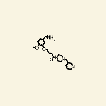 COc1ccc(CN)cc1OCCCC(=O)N1CCN(Cc2cccnc2)CC1